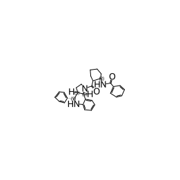 O=C(N[C@@H]1CCCCC1C(=O)N1CC[C@H]2[C@@H](c3ccccc3)Nc3ccccc3[C@H]21)c1ccccc1